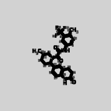 Cc1ncc(NC(=O)C(=O)N2C[C@@H](C)CCC2c2ccc3c(c2)CCC(=O)N3)cc1C(F)(F)F